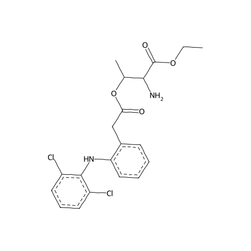 CCOC(=O)C(N)C(C)OC(=O)Cc1ccccc1Nc1c(Cl)cccc1Cl